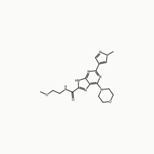 COCCNC(=O)c1nc2c(N3CCOCC3)nc(-c3cnn(C)c3)nc2[nH]1